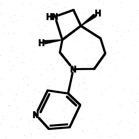 c1cncc(N2CCC[C@@H]3CN[C@@H]3C2)c1